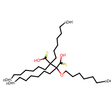 CCCCCCCCCCCCCCCCOC(CCCCCCCCCCCCCCCC)(C(O)=S)C(CCCCCCCCCCCCCCCC)(CCCCCCCCCCCCCCCC)C(O)=S